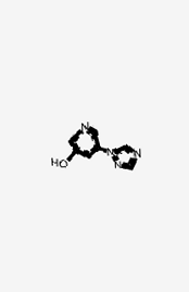 Oc1cncc(-n2cncn2)c1